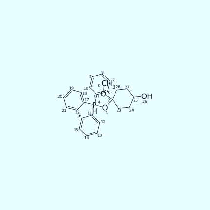 COC1(O[PH](c2ccccc2)(c2ccccc2)c2ccccc2)CCC(O)CC1